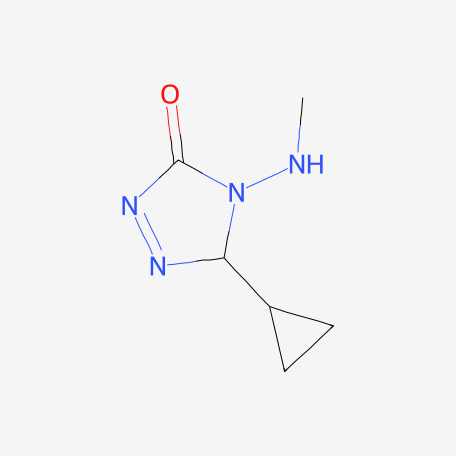 CNN1C(=O)N=NC1C1CC1